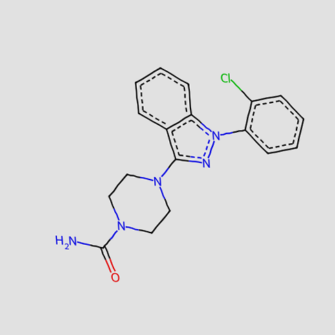 NC(=O)N1CCN(c2nn(-c3ccccc3Cl)c3ccccc23)CC1